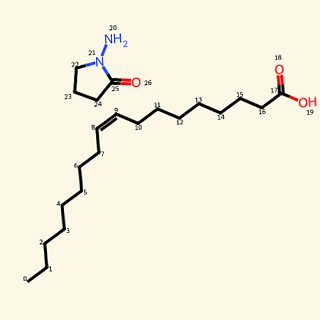 CCCCCCCC/C=C\CCCCCCCC(=O)O.NN1CCCC1=O